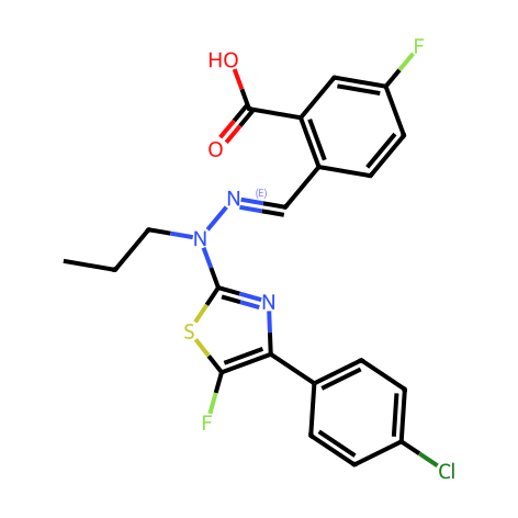 CCCN(/N=C/c1ccc(F)cc1C(=O)O)c1nc(-c2ccc(Cl)cc2)c(F)s1